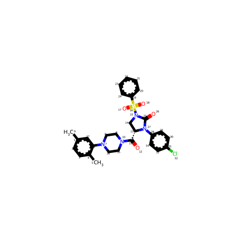 Cc1ccc(C)c(N2CCN(C(=O)[C@@H]3CN(S(=O)(=O)c4ccccc4)C(=O)N3c3ccc(Cl)cc3)CC2)c1